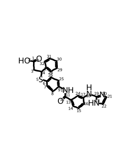 O=C(O)CC(Sc1ccc(NC(=O)c2cccc(Nc3ncc[nH]3)c2)cc1)c1ccccc1